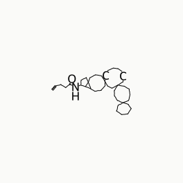 C#CCCC(=O)NC1CCC23CCCC4(CCCCCCCC5(CCCCC6(CCCCCC6)CCC5)CC4)CCCC2C13